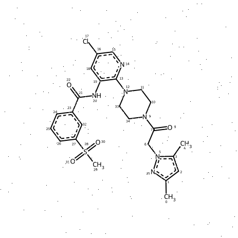 Cc1cc(C)n(CC(=O)N2CCN(c3ncc(Cl)cc3NC(=O)c3cccc(S(C)(=O)=O)c3)CC2)n1